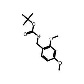 COc1ccc(C[N]C(=O)OC(C)(C)C)c(OC)c1